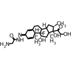 C[C@@H]1C[C@H]2[C@@H]3CCC4=C/C(=N/NC(=O)CN)C=C[C@]4(C)[C@@]3(F)[C@@H](O)C[C@]2(C)[C@@]1(O)C(=O)CO